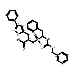 O=C(NC(Cc1ccccc1)P(=O)(O)CC(Cc1cc(-c2ccccc2)no1)C(=O)O)OCc1ccccc1